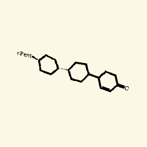 CCCCC[C@H]1CC[C@H](C2CCC(C3C=CC(=O)CC3)CC2)CC1